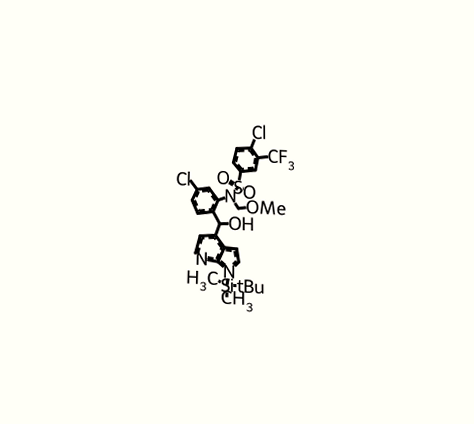 COCN(c1cc(Cl)ccc1C(O)c1ccnc2c1ccn2[Si](C)(C)C(C)(C)C)S(=O)(=O)c1ccc(Cl)c(C(F)(F)F)c1